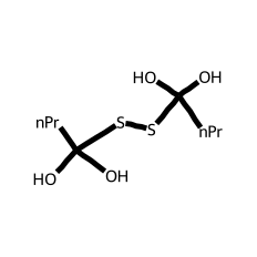 CCCC(O)(O)SSC(O)(O)CCC